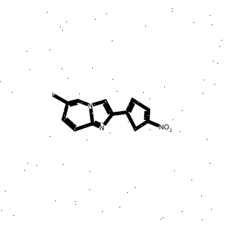 O=[N+]([O-])C1=CC=C(c2cn3cc(I)ccc3n2)C1